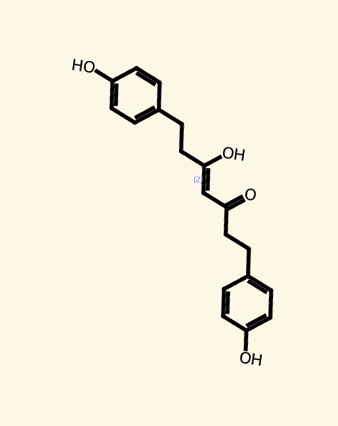 O=C(/C=C(\O)CCc1ccc(O)cc1)CCc1ccc(O)cc1